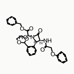 O=C(COc1ccccc1)N[C@@H]1C(=O)N(C(O)C(=O)OCc2ccccc2)[C@@H]1c1ccccc1C1OCCO1